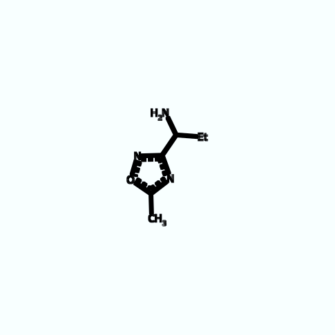 CCC(N)c1noc(C)n1